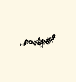 C=CC(=O)Nc1cc(Nc2nc(-c3ccnc(N4CCn5c(cc6c5CC(C)(C)C6)C4=O)c3CO)cn(C)c2=O)ccc1N1CCN(C2CCN(c3cccc(C(C)(C)O)n3)CC2)C[C@@H]1C